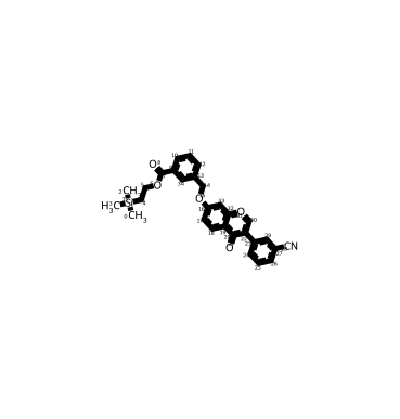 C[Si](C)(C)CCOC(=O)c1cccc(COc2ccc3c(=O)c(-c4cccc(C#N)c4)coc3c2)c1